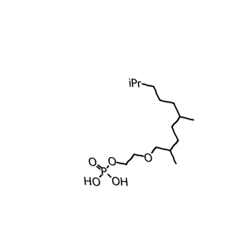 CC(C)CCCC(C)CCC(C)COCCOP(=O)(O)O